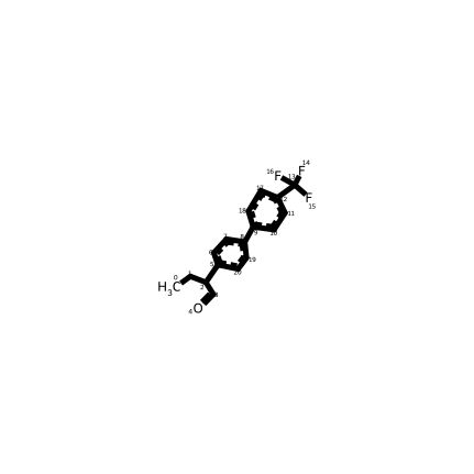 CCC(C=O)c1ccc(-c2ccc(C(F)(F)F)cc2)cc1